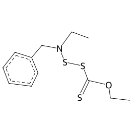 CCOC(=S)SSN(CC)Cc1ccccc1